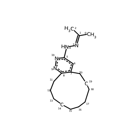 CC(C)=NNc1cc2c(nn1)CCCCCCCCCC2